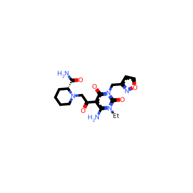 CCn1c(N)c(C(=O)CN2CCCC[C@@H]2C(N)=O)c(=O)n(Cc2ccon2)c1=O